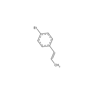 CC=Cc1ccc(CC)cc1